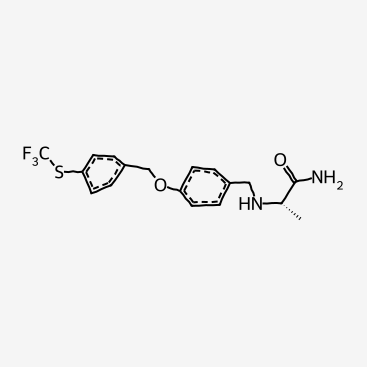 C[C@H](NCc1ccc(OCc2ccc(SC(F)(F)F)cc2)cc1)C(N)=O